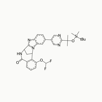 CC(C)(O[Si](C)(C)C(C)(C)C)c1ncc(-c2ccc3nc4n(c3c2)C2CC4NC(=O)c3cccc(OC(F)F)c32)cn1